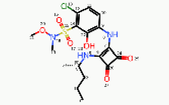 CCC[C@H](C)Nc1c(Nc2ccc(Cl)c(S(=O)(=O)N(C)OC)c2O)c(=O)c1=O